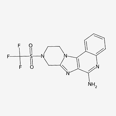 Nc1nc2ccccc2c2c1nc1n2CCN(S(=O)(=O)C(F)(F)F)C1